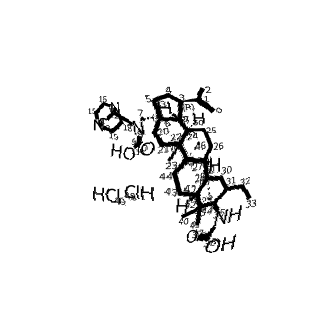 C=C(C)[C@@H]1CC[C@]2(CN(C(=O)O)C3CN4CCN3CC4)CC[C@]3(C)[C@H](CC[C@@H]4[C@@]5(C)CC(CC)C(NC(=O)O)C(C)(C)[C@@H]5CC[C@]43C)[C@@H]12.Cl.Cl